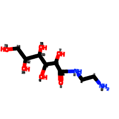 NCCNC(=O)C(O)C(O)C(O)C(O)CO